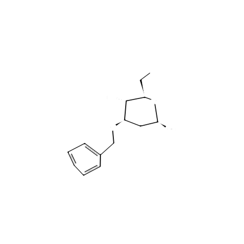 OC[C@H]1O[C@@H](O)C[C@@H](OCc2ccccc2)[C@@H]1O